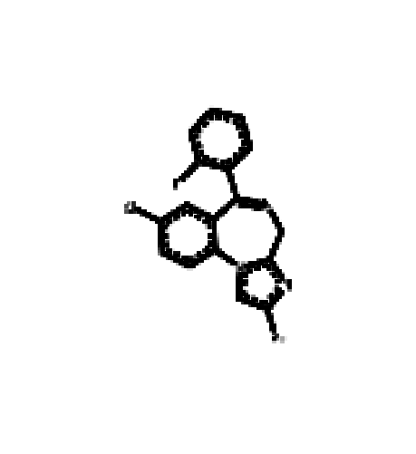 CC(=O)c1cn2c(n1)CN=C(c1ccccc1F)c1cc(Cl)ccc1-2